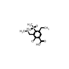 CCc1cc(C(=O)O)c(Cl)c(CNC)c1S(C)(=O)=O